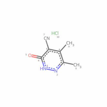 Cc1n[nH]c(=O)c(C#N)c1C.Cl